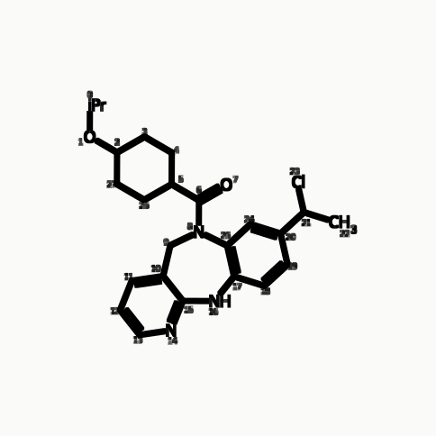 CC(C)OC1CCC(C(=O)N2Cc3cccnc3Nc3ccc(C(C)Cl)cc32)CC1